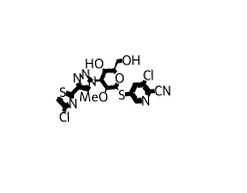 CO[C@@H]1[C@@H](n2cc(-c3nc(Cl)cs3)nn2)[C@@H](O)[C@@H](CO)O[C@@H]1Sc1cnc(C#N)c(Cl)c1